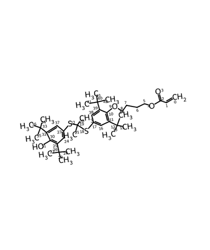 C=CC(=O)OCCCCOc1c(C(C)(C)C)cc(SC(C)(C)Sc2cc(C(C)(C)C)c(O)c(C(C)(C)C)c2)cc1C(C)(C)C